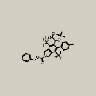 Cc1ccc(-c2c(C(OC(C)(C)C)C(=O)O)c(C(F)(F)F)c3c(c2C(F)(F)F)CN(C(=O)OCc2ccccc2)C3)cc1